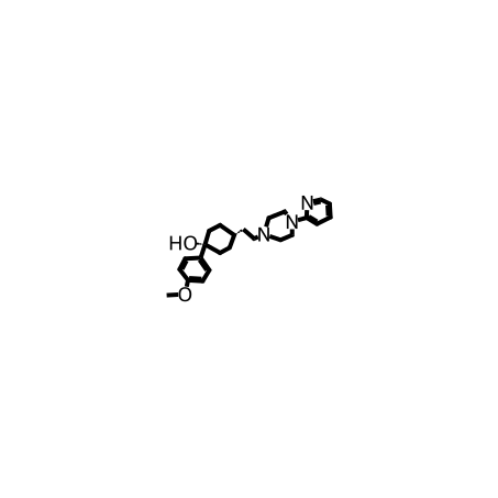 COc1ccc([C@]2(O)CC[C@@H](CCN3CCN(c4ccccn4)CC3)CC2)cc1